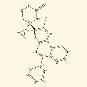 O=C1COC[C@@](c2cc(N=C(c3ccccc3)c3ccccc3)ccc2F)(C2CC2)N1